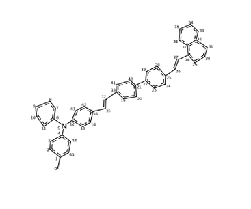 Cc1ccc(N(c2ccccc2)c2ccc(/C=C/c3ccc(-c4ccc(/C=C/c5cccc6ccccc56)cc4)cc3)cc2)cc1